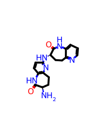 N[C@@H]1CCc2nc(N[C@H]3CCc4ncccc4NC3=O)ccc2NC1=O